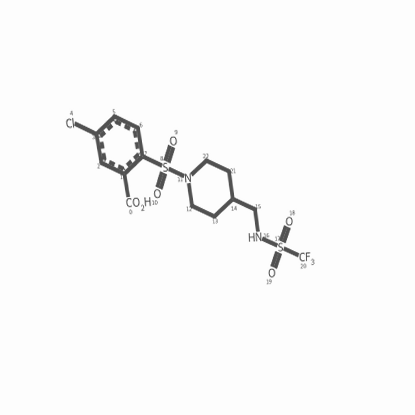 O=C(O)c1cc(Cl)ccc1S(=O)(=O)N1CCC(CNS(=O)(=O)C(F)(F)F)CC1